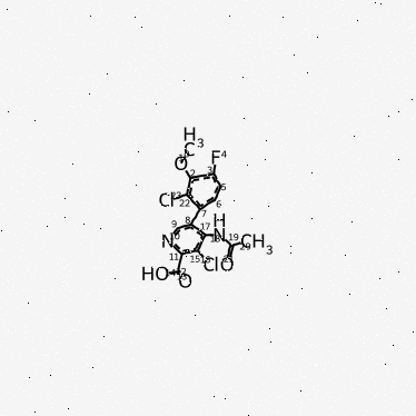 COc1c(F)ccc(-c2cnc(C(=O)O)c(Cl)c2NC(C)=O)c1Cl